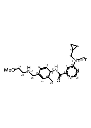 CCCN(CC1CC1)c1cc(C(=O)NC2C=CC(CNCCOC)=CC2C)ncn1